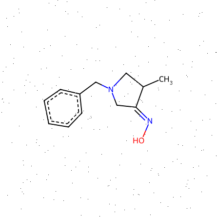 CC1CN(Cc2ccccc2)C/C1=N\O